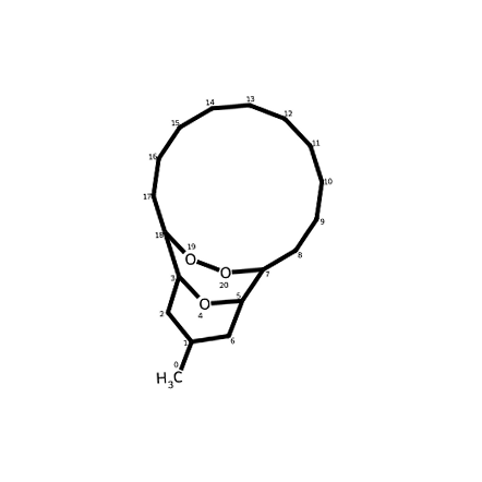 CC1CC2OC(C1)C1CCCCCCCCCCC2OO1